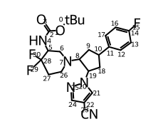 CC(C)(C)OC(=O)NC1CN(C2CC(c3ccc(F)cc3)CC2n2cc(C#N)cn2)CCC1(F)F